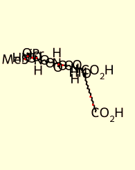 CSN[C@@H](CSCC(=O)NCCOCCOCCNC(=O)COCCOCCNC(=O)CC[C@H](NC(=O)CCCCCCCCCCCCCCCCCCC(=O)O)C(=O)O)C(=O)C(C)C